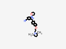 CC1CCCC(C)N1CCCOc1ccc2cc(-c3nn(C4CCCCO4)c4ccc(C#N)cc34)ccc2c1